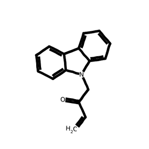 C=CC(=O)Cn1c2ccccc2c2ccccc21